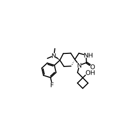 CN(C)[C@]1(c2cccc(F)c2)CC[C@]2(CC1)CNC(=O)N2CC1(O)CCC1